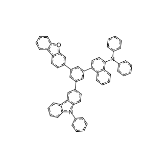 c1ccc(N(c2ccccc2)c2ccc(-c3cc(-c4ccc5c(c4)oc4ccccc45)cc(-c4ccc5c(c4)c4ccccc4n5-c4ccccc4)c3)c3ccccc23)cc1